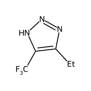 CCc1nn[nH]c1C(F)(F)F